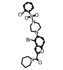 O=C(c1cc2c(Br)c(N3CCN(S(=O)(=O)c4ccccc4Cl)CC3)ccc2o1)N1CCCCC1